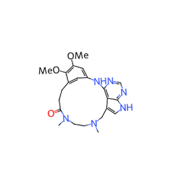 COc1cc2cc(c1OC)CCC(=O)N(C)CCN(C)Cc1c[nH]c3ncnc(c13)N2